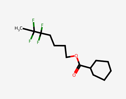 CC(F)(F)C(F)(F)CCCCOC(=O)C1CCCCC1